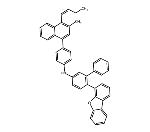 CC/C=C\c1c(C)cc(-c2ccc(Nc3ccc(-c4cccc5c4oc4ccccc45)c(-c4ccccc4)c3)cc2)c2ccccc12